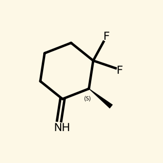 C[C@H]1C(=N)CCCC1(F)F